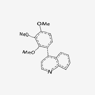 COc1ccc(-c2ccnc3ccccc23)c(OC)c1OC